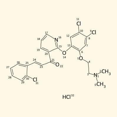 CN(C)CCOc1cc(Cl)c(Cl)cc1Oc1ncccc1C(=O)/C=C/c1ccccc1Cl.Cl